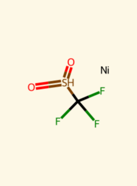 O=[SH](=O)C(F)(F)F.[Ni]